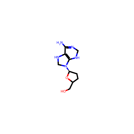 NC1=NCNC2=C1NCN2[C@H]1CCC(CO)O1